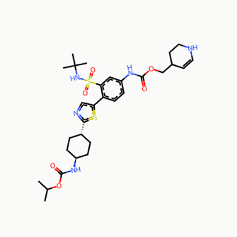 CC(C)OC(=O)N[C@H]1CC[C@H](c2ncc(-c3ccc(NC(=O)OCC4C=CNCC4)cc3S(=O)(=O)NC(C)(C)C)s2)CC1